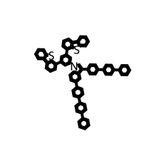 c1ccc(-c2ccc(-c3ccc(-c4ccc5c(c4)c(-c4ccc(-c6ccc(-c7ccccc7)cc6)cc4)cn5-c4cc(-c5cccc6c5sc5ccccc56)cc(-c5cccc6c5sc5ccccc56)c4)cc3)cc2)cc1